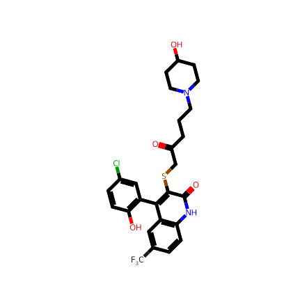 O=C(CCCN1CCC(O)CC1)CSc1c(-c2cc(Cl)ccc2O)c2cc(C(F)(F)F)ccc2[nH]c1=O